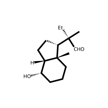 CC[C@](C)(C=O)[C@H]1CC[C@H]2[C@@H](O)CCC[C@]21C